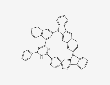 C1=Cc2c(cc(-n3c4c(c5ccccc53)=CC3CC=C(n5c6ccccc6c6ccccc65)C=C3C=4)cc2C2=NC(c3ccccc3)NC(c3ccccc3)=N2)CC1